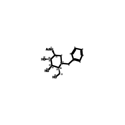 CC(=O)N[C@H]1CN(Cc2ccccc2)[C@H](CO)[C@@H](O)[C@@H]1O